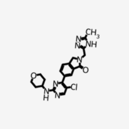 Cc1nnc(CN2Cc3ccc(-c4nc(NC5CCOCC5)ncc4Cl)cc3C2=O)[nH]1